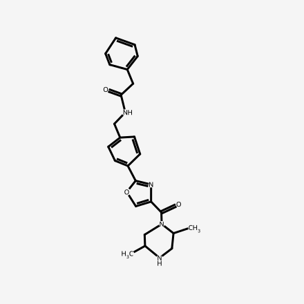 CC1CN(C(=O)c2coc(-c3ccc(CNC(=O)Cc4ccccc4)cc3)n2)C(C)CN1